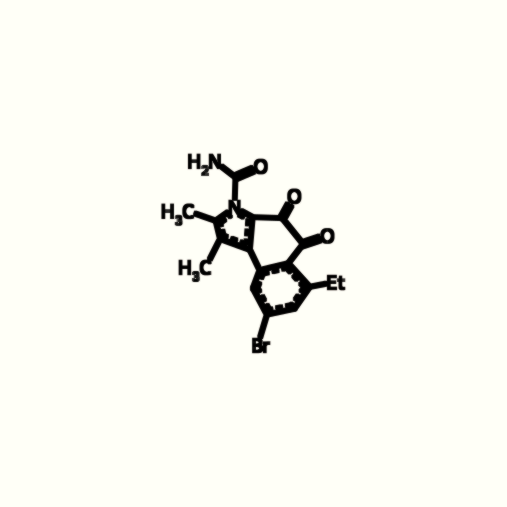 CCc1cc(Br)cc2c1C(=O)C(=O)c1c-2c(C)c(C)n1C(N)=O